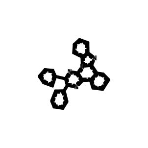 c1ccc(-c2nc3c4ccccc4c4nc5ccccc5n4c3nc2-c2ccccc2)cc1